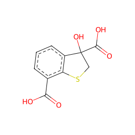 O=C(O)c1cccc2c1SCC2(O)C(=O)O